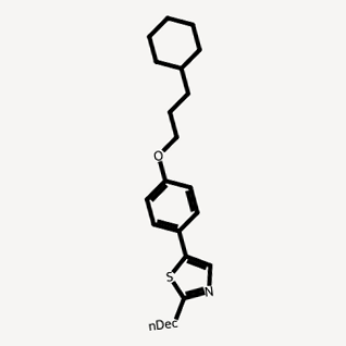 CCCCCCCCCCc1ncc(-c2ccc(OCCCC3CCCCC3)cc2)s1